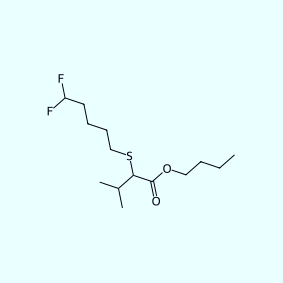 CCCCOC(=O)C(SCCCCC(F)F)C(C)C